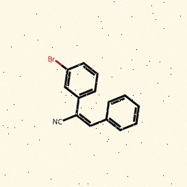 N#CC(=Cc1ccccc1)c1cccc(Br)c1